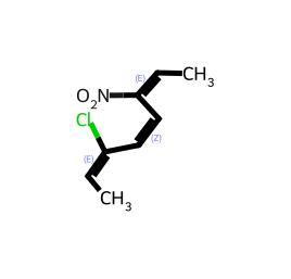 C\C=C(Cl)/C=C\C(=C/C)[N+](=O)[O-]